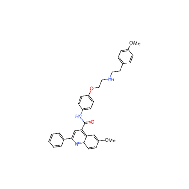 COc1ccc(CCNCCOc2ccc(NC(=O)c3cc(-c4ccccc4)nc4ccc(OC)cc34)cc2)cc1